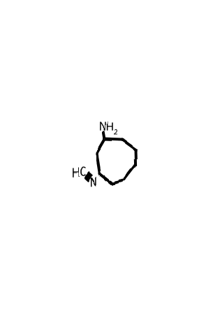 C#N.NC1CCCCCCC1